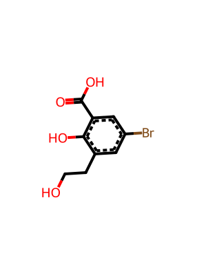 O=C(O)c1cc(Br)cc(CCO)c1O